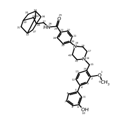 COc1cc(-c2cccc(O)c2)ccc1CN1CCN(c2ccc(C(=O)NCC34CC5CC(CC(C5)C3)C4)cc2)CC1